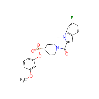 Cn1c(C(=O)N2CCC(S(=O)(=O)Oc3cccc(OC(F)(F)F)c3)CC2)cc2ccc(F)cc21